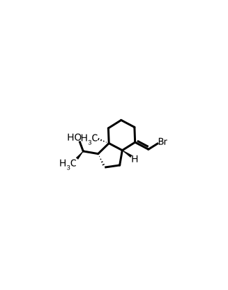 C[C@@H](O)[C@H]1CC[C@H]2C(=CBr)CCC[C@]12C